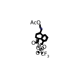 CC(=O)OC/C=C/C1=CC[C@@H]2C(=O)N(OS(=O)(=O)C(F)(F)F)C(=O)c3cccc1c32